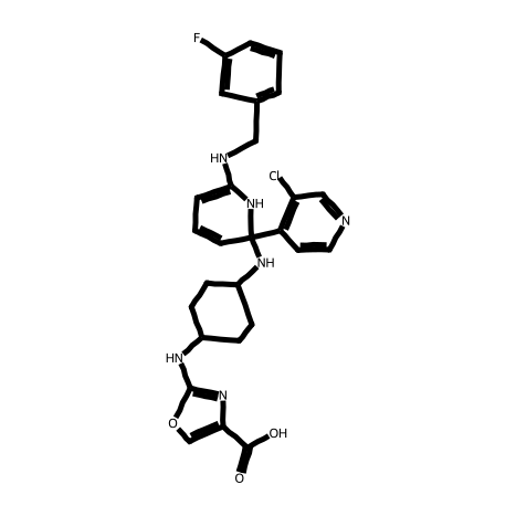 O=C(O)c1coc(NC2CCC(NC3(c4ccncc4Cl)C=CC=C(NCc4cccc(F)c4)N3)CC2)n1